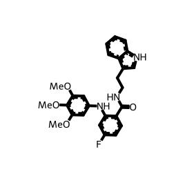 COc1cc(Nc2cc(F)ccc2C(=O)NCCc2c[nH]c3ccccc23)cc(OC)c1OC